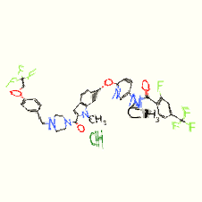 CN(C(=O)c1ccc(C(F)(F)F)cc1F)c1ccc(Oc2ccc3cc(C(=O)N4CCN(Cc5ccc(OCC(F)(F)F)cc5)CC4)n(C)c3c2)nc1.Cl